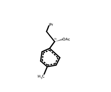 CC(=O)O[C@@H](CC(C)C)c1ccc(C)cc1